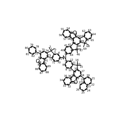 CC1(C)c2cc(N(c3ccc4c(c3)C(C)(C)c3cc(-c5cccc6ccccc56)c5oc6ccccc6c5c3-4)c3ccc4c(c3)C(C)(C)c3c5c(c6oc7ccccc7c6c3-4)-c3ccccc3C5(C)C)ccc2-c2c1cc(-c1ccccc1)c1oc3ccccc3c21